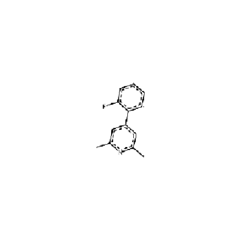 Cc1cc(-c2[c]cccc2F)cc(C)n1